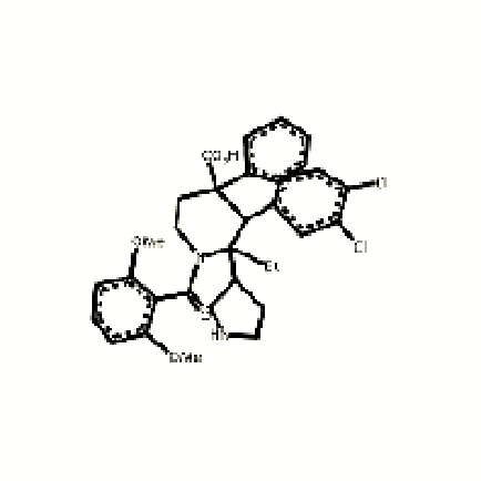 CCC1(C2CCNC2)C(c2ccc(Cl)c(Cl)c2)C(C(=O)O)(c2ccccc2)CCN1C(=O)c1c(OC)cccc1OC